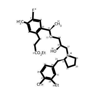 CCOC(=O)CCc1cc(C)c(F)cc1[C@@H](C)OC[C@H](O)CN1CCC[C@H]1Cc1ccc(Cl)c(CC)c1